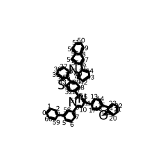 c1ccc(-c2cccc(-c3cc(-c4ccc5c(c4)oc4ccccc45)nc(-c4ccc5c(c4)sc4cccc(-n6c7ccccc7c7cc8ccccc8cc76)c45)n3)c2)cc1